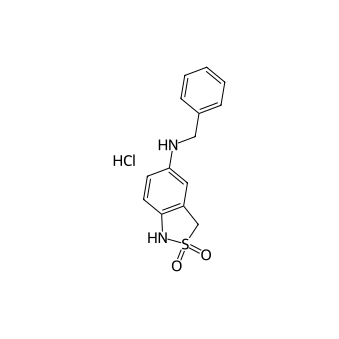 Cl.O=S1(=O)Cc2cc(NCc3ccccc3)ccc2N1